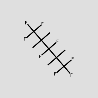 CC(C)(C(F)(F)F)C(F)(F)C(C)(C)C(F)(F)F